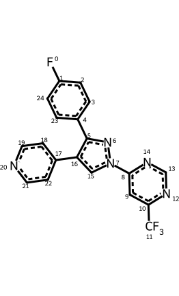 Fc1ccc(-c2nn(-c3cc(C(F)(F)F)ncn3)cc2-c2ccncc2)cc1